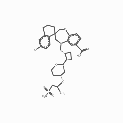 CC(CS(N)(=O)=O)O[C@@H]1CCO[C@@H]([C@@H]2CC[C@H]2CN2CC3(CCCc4cc(Cl)ccc43)COc3ccc(C(=O)O)cc32)C1